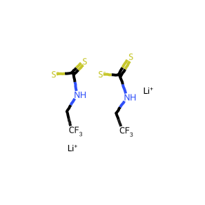 FC(F)(F)CNC(=S)[S-].FC(F)(F)CNC(=S)[S-].[Li+].[Li+]